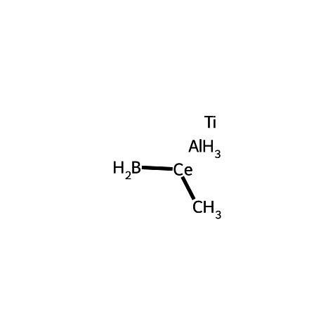 [AlH3].[BH2][Ce][CH3].[Ti]